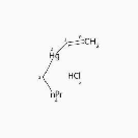 C=[CH][Hg][CH2]CCC.Cl